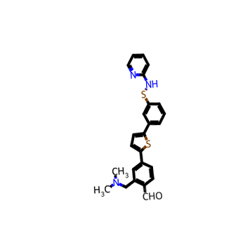 CN(C)Cc1cc(-c2ccc(-c3cccc(SNc4ccccn4)c3)s2)ccc1C=O